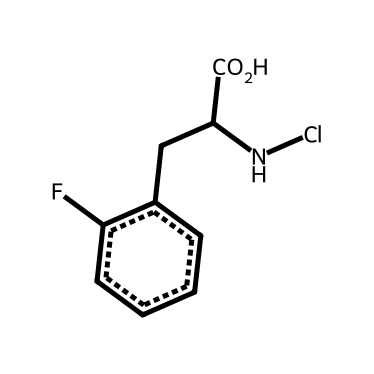 O=C(O)C(Cc1ccccc1F)NCl